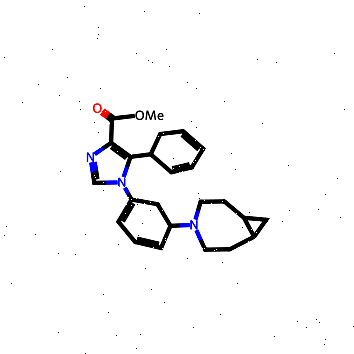 COC(=O)c1ncn(C2=CC=CC(N3CCC4CC4CC3)C2)c1C1C=CC=CC1